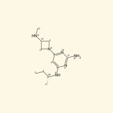 CC[C@@H](C)Nc1cc(N2CC(NC)C2)nc(N)n1